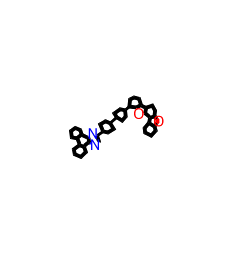 c1ccc2c(c1)oc1ccc3c4cccc(-c5ccc(-c6ccc(-c7cnc8c9ccccc9c9ccccc9c8n7)cc6)cc5)c4oc3c12